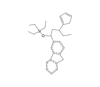 CCC(CC(O[Si](CC)(CC)CC)c1ccc2c(c1)-c1ccccc1C2)C1=CC=CC1